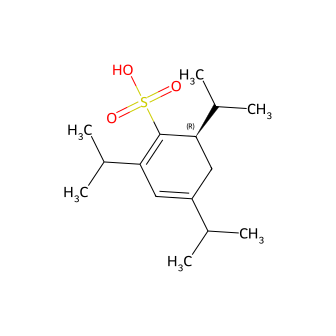 CC(C)C1=CC(C(C)C)=C(S(=O)(=O)O)[C@@H](C(C)C)C1